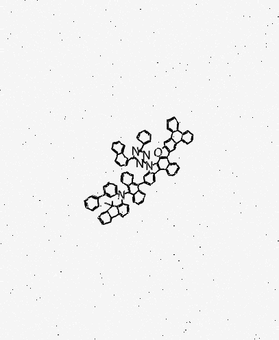 CC1(C)c2ccccc2-c2cccc(N(c3cccc(-c4ccccc4)c3)c3c4ccccc4c(-c4ccc5c6c7ccccc7c7c8cc9c%10ccccc%10c%10ccccc%10c9cc8oc7c6n(-c6nc(-c7ccccc7)nc(-c7cccc8ccccc78)n6)c5c4)c4ccccc34)c21